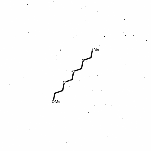 COCCOCOCSCSC